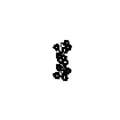 c1ccc(-c2cccc3c2oc2c(N(c4ccccc4)c4ccc5ccc6c(N(c7ccccc7)c7ccc8ccc9cccc%10oc7c8c9%10)ccc7ccc4c5c76)cccc23)cc1